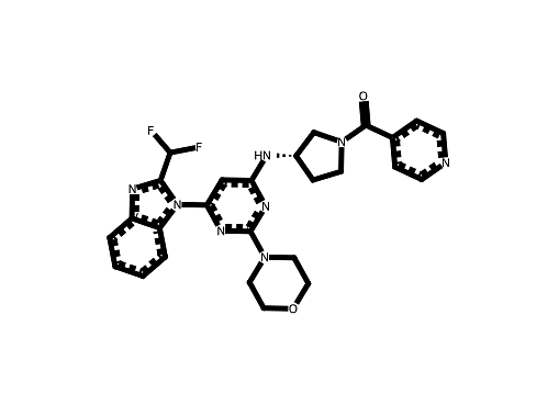 O=C(c1ccncc1)N1CC[C@H](Nc2cc(-n3c(C(F)F)nc4ccccc43)nc(N3CCOCC3)n2)C1